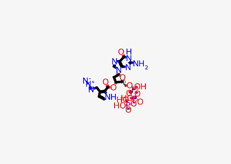 [N-]=[N+]=NCc1cc[nH]c1C(=O)OC1C[C@H](n2cnc3c(=O)[nH]c(N)nc32)O[C@@H]1COP(=O)(O)OP(=O)(O)OP(=O)(O)O